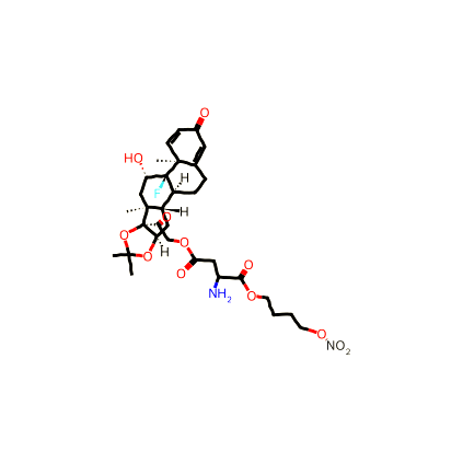 CC1(C)O[C@@H]2C[C@H]3[C@@H]4CCC5=CC(=O)C=C[C@]5(C)[C@@]4(F)[C@@H](O)C[C@]3(C)[C@]2(C(=O)COC(=O)CC(N)C(=O)OCCCCO[N+](=O)[O-])O1